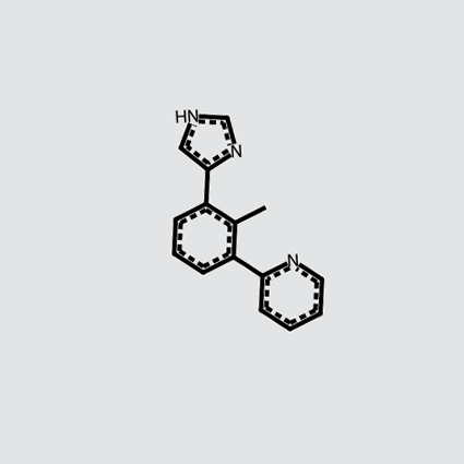 Cc1c(-c2ccccn2)cccc1-c1c[nH]cn1